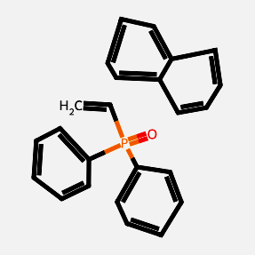 C=CP(=O)(c1ccccc1)c1ccccc1.c1ccc2ccccc2c1